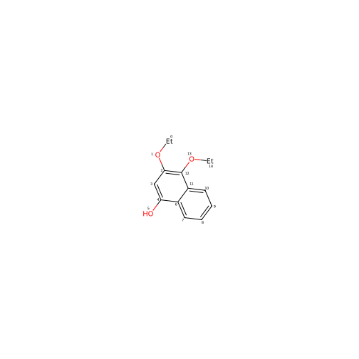 CCOc1cc(O)c2ccccc2c1OCC